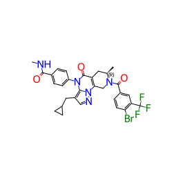 CNC(=O)c1ccc(-n2c(=O)c3c(n4ncc(CC5CC5)c24)CN(C(=O)c2ccc(Br)c(C(F)(F)F)c2)[C@H](C)C3)cc1